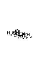 C=CCC(C)(CO[Si](C)(C)C(C)(C)C)OC